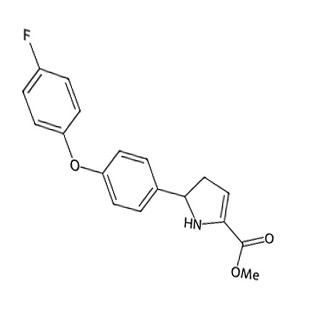 COC(=O)C1=CCC(c2ccc(Oc3ccc(F)cc3)cc2)N1